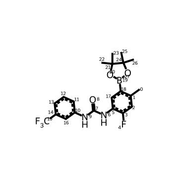 Cc1cc(F)c(NC(=O)Nc2cccc(C(F)(F)F)c2)cc1B1OC(C)(C)C(C)(C)O1